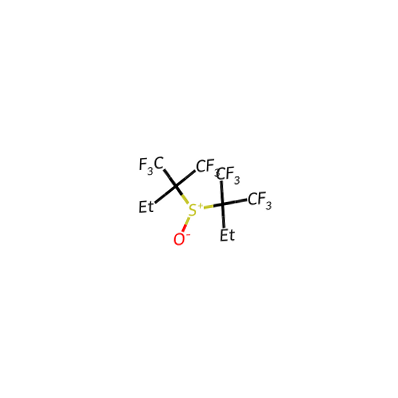 CCC([S+]([O-])C(CC)(C(F)(F)F)C(F)(F)F)(C(F)(F)F)C(F)(F)F